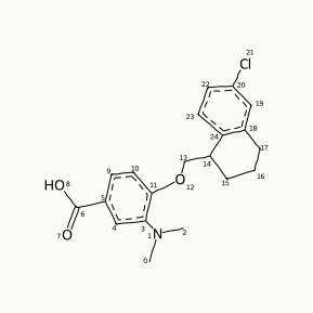 CN(C)c1cc(C(=O)O)ccc1OCC1CCCc2cc(Cl)ccc21